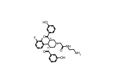 Cc1c(F)cccc1C1[C@@H](C(=O)c2cccc(O)c2)CN(CC(=O)NCCN)C[C@@H]1C(=O)c1cccc(O)c1